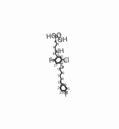 O=P(O)(O)CCCNCc1cc(Cl)c(SCCCCCc2ccc(F)cc2)cc1F